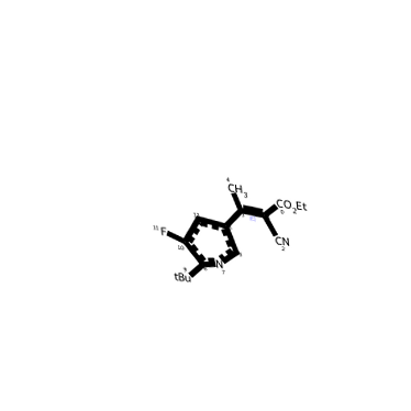 CCOC(=O)/C(C#N)=C(\C)c1cnc(C(C)(C)C)c(F)c1